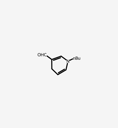 CCCCN1C=CCC(C=O)=C1